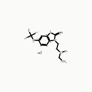 CC[S+]([O-])CCn1c(=N)sc2cc(OC(F)(F)F)ccc21.Cl